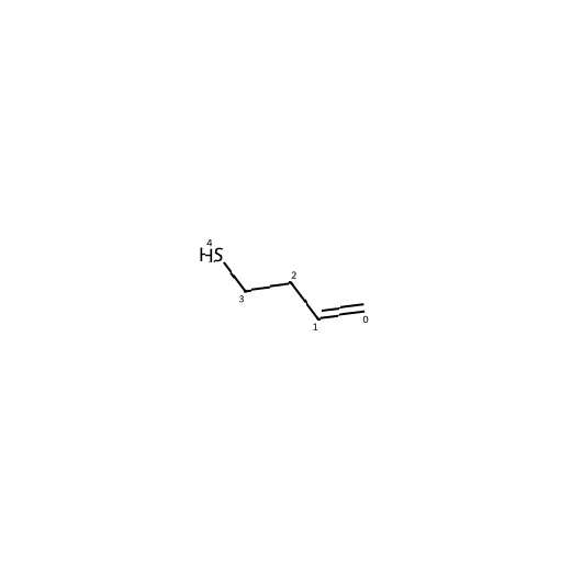 C=CCCS